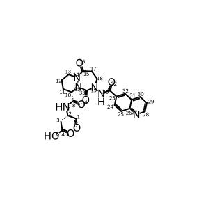 O=C[C@H](CC(=O)O)NC(=O)[C@@H]1CCCN2C(=O)CCN(NC(=O)c3ccc4ncccc4c3)C(=O)N12